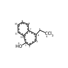 Oc1ccc(CC(Cl)(Cl)Cl)c2ccccc12